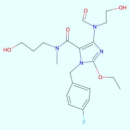 CCOc1nc(N(C=O)CCO)c(C(=O)N(C)CCCO)n1Cc1ccc(F)cc1